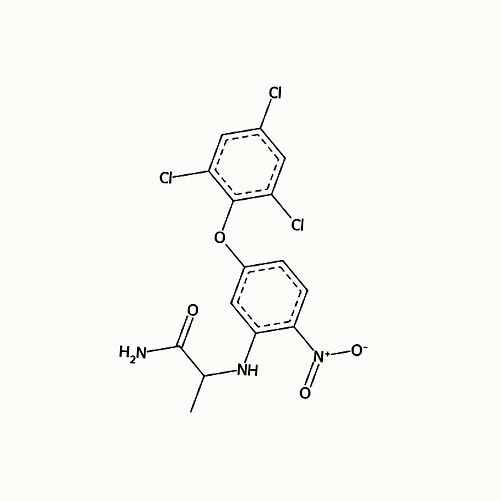 CC(Nc1cc(Oc2c(Cl)cc(Cl)cc2Cl)ccc1[N+](=O)[O-])C(N)=O